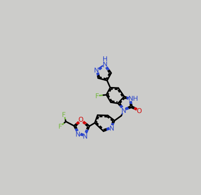 O=c1[nH]c2cc(-c3cn[nH]c3)c(F)cc2n1Cc1ccc(-c2nnc(C(F)F)o2)cn1